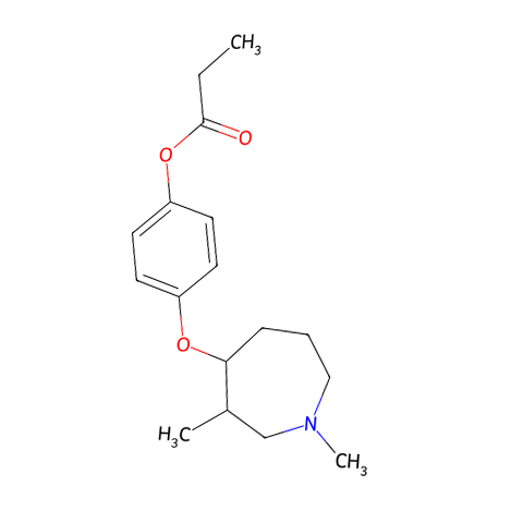 CCC(=O)Oc1ccc(OC2CCCN(C)CC2C)cc1